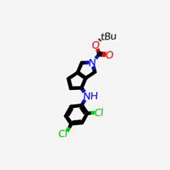 CC(C)(C)OC(=O)N1CC2CCC(Nc3ccc(Cl)cc3Cl)C2C1